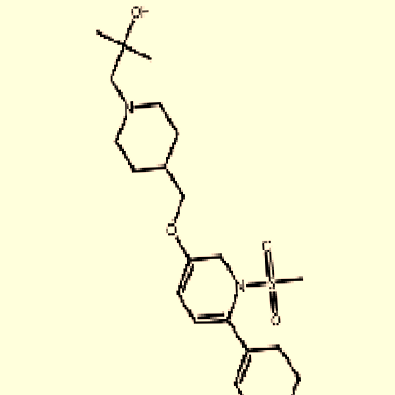 CC(C)(O)CN1CCC(COC2=CC=C(C3=CCNCC3)N(S(C)(=O)=O)C2)CC1